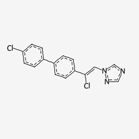 Cl/C(=C\n1cncn1)c1ccc(-c2ccc(Cl)cc2)cc1